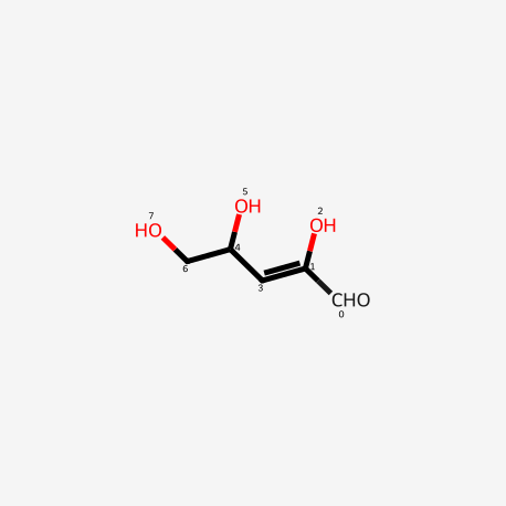 O=C/C(O)=C/C(O)CO